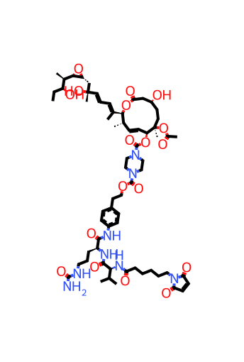 CC[C@H](O)[C@@H](C)[C@H]1O[C@@H]1C[C@@](C)(O)/C=C/C=C(\C)[C@H]1OC(=O)C[C@H](O)CC[C@@](C)(OC(C)=O)[C@@H](OC(=O)N2CCN(C(=O)OCCc3ccc(NC(=O)[C@H](CCCNC(N)=O)NC(=O)[C@@H](NC(=O)CCCCCN4C(=O)C=CC4=O)C(C)C)cc3)CC2)/C=C/[C@@H]1C